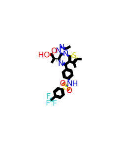 Cc1sc2c(c1C)C(c1ccc(NS(=O)(=O)c3ccc(C(F)(F)F)cc3)cc1)=N[C@@H](C(C)C(=O)O)c1nnc(C)n1-2